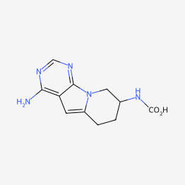 Nc1ncnc2c1cc1n2CC(NC(=O)O)CC1